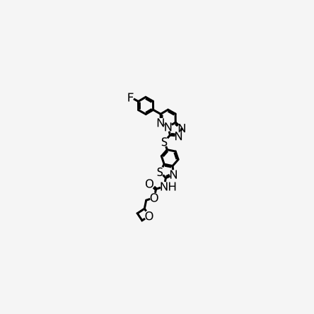 O=C(Nc1nc2ccc(Sc3nnc4ccc(-c5ccc(F)cc5)nn34)cc2s1)OCC1CCO1